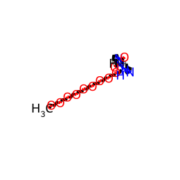 COCCOCCOCCOCCOCCOCCOCCOCCOCCn1cncc1C[C@@H]1NC(=O)[C@@H]2CCCN2C1=O